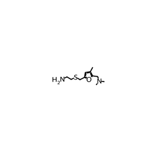 Cc1cc(CSCCN)oc1CN(C)C